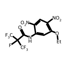 CCOc1cc(NC(=O)C(F)(C(F)(F)F)C(F)(F)F)c([N+](=O)[O-])cc1[N+](=O)[O-]